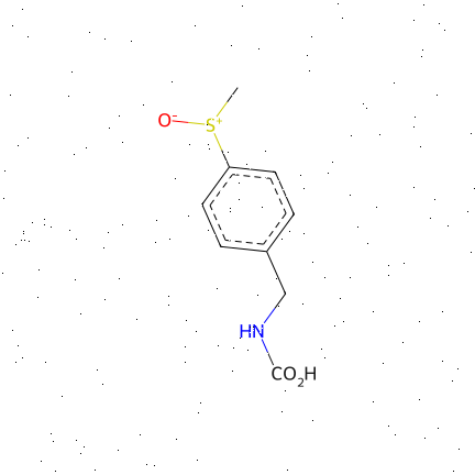 C[S+]([O-])c1ccc(CNC(=O)O)cc1